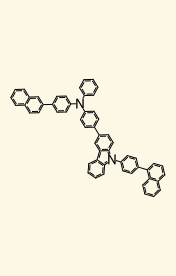 c1ccc(N(c2ccc(-c3ccc4ccccc4c3)cc2)c2ccc(-c3ccc4c(c3)c3ccccc3n4-c3ccc(-c4cccc5ccccc45)cc3)cc2)cc1